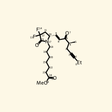 CCC#CC[C@H](C)C(=O)C=C[C@H]1CC(F)(F)C(=O)N1CCCCCCC(=O)OC